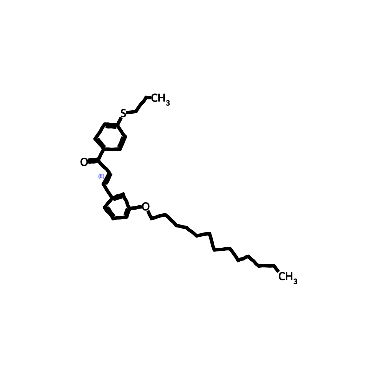 CCCCCCCCCCCCCOc1cccc(/C=C/C(=O)c2ccc(SCCC)cc2)c1